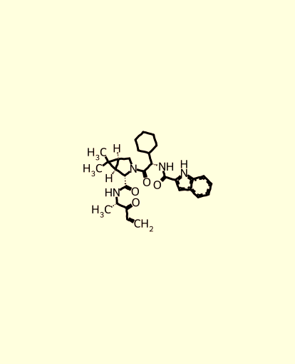 C=CC(=O)[C@H](C)NC(=O)[C@@H]1[C@@H]2[C@H](CN1C(=O)[C@@H](NC(=O)c1cc3ccccc3[nH]1)C1CCCCC1)C2(C)C